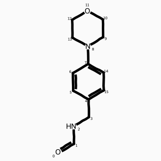 O=CNCc1ccc(N2CCOCC2)cc1